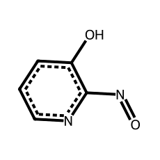 O=Nc1ncccc1O